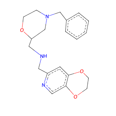 c1ccc(CN2CCOC(CNCc3cc4c(cn3)OCCO4)C2)cc1